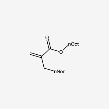 C=C(CCCCCCCCCC)C(=O)OCCCCCCCC